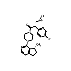 CC(C)NC[C@@H](C(=O)N1CCN(c2ncnc3c2[C@H](C)CC3)CC1)c1ccc(Br)cn1